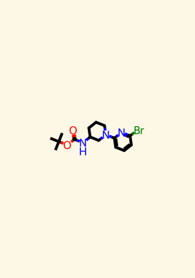 CC(C)(C)OC(=O)NC1CCCN(c2cccc(Br)n2)C1